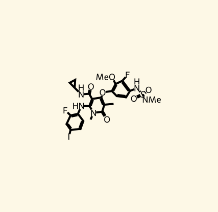 CNS(=O)(=O)Nc1ccc(Oc2c(C(=O)NC3CC3)c(Nc3ccc(I)cc3F)n(C)c(=O)c2C)c(OC)c1F